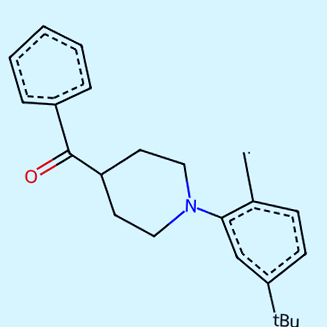 [CH2]c1ccc(C(C)(C)C)cc1N1CCC(C(=O)c2ccccc2)CC1